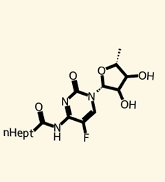 CCCCCCCC(=O)Nc1nc(=O)n([C@@H]2O[C@H](C)C(O)C2O)cc1F